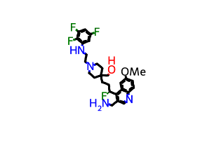 COc1ccc2ncc(CN)c([C@@H](F)CCC3(CO)CCN(CCNc4cc(F)cc(F)c4F)CC3)c2c1